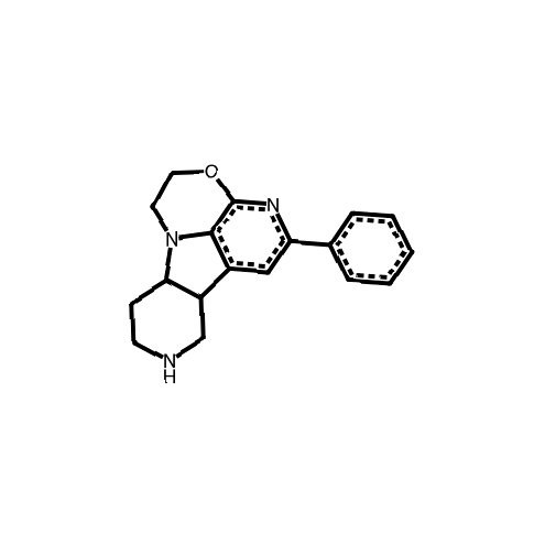 c1ccc(-c2cc3c4c(n2)OCCN4C2CCNCC32)cc1